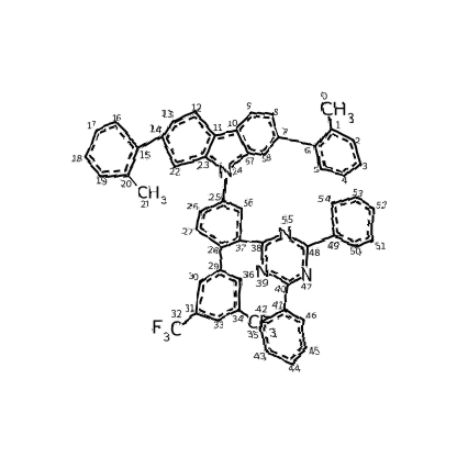 Cc1ccccc1-c1ccc2c3ccc(-c4ccccc4C)cc3n(-c3ccc(-c4cc(C(F)(F)F)cc(C(F)(F)F)c4)c(-c4nc(-c5ccccc5)nc(-c5ccccc5)n4)c3)c2c1